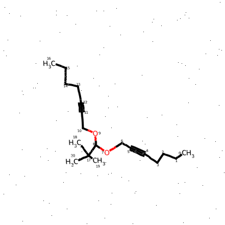 CCCCC#CCOC(OCC#CCCCC)C(C)(C)C